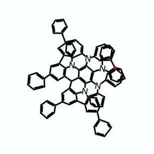 c1ccc(-c2ccc3c(c2)c2cc(-c4ccccc4)cc4c2n3-c2c3c(c(N(c5ccccc5)c5ccccc5)c(-n5c6ccccc6c6ccccc65)c2N(c2ccccc2)c2ccccc2)-n2c5ccc(-c6ccccc6)cc5c5cc(-c6ccccc6)cc(c52)C34)cc1